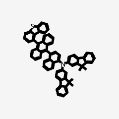 CC1(C)c2ccccc2-c2ccc(N(c3ccc4c(c3)C(C)(C)c3ccccc3-4)c3ccc(-c4c5ccccc5c(-c5cccc6sc7ccccc7c56)c5ccccc45)c4ccccc34)cc21